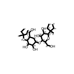 CCC(C)(CC)OC1C(CO)CC(OC2C(CO)OC(C(C)(CC)CC)C(O)C2O)C(O)C1O